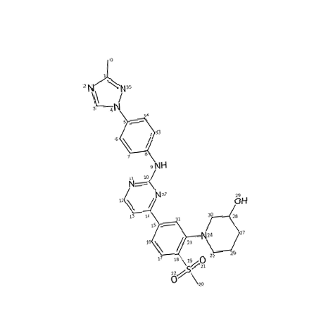 Cc1ncn(-c2ccc(Nc3nccc(-c4ccc(S(C)(=O)=O)c(N5CCCC(O)C5)c4)n3)cc2)n1